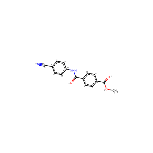 COC(=O)c1ccc(C(=O)Nc2ccc(C#N)cc2)cc1